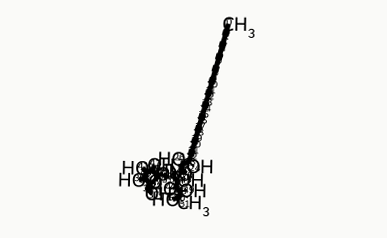 CC#CC#CC#CC#CC#CC#CC#CC#CC#CC#CC#C[C@@H](O)[C@@H](O)C(=O)N[C@@H](COC1OC(CO)C(O)C(O)C1O)[C@H](O)[C@H](O)[C@@H](O)[C@H](C)O